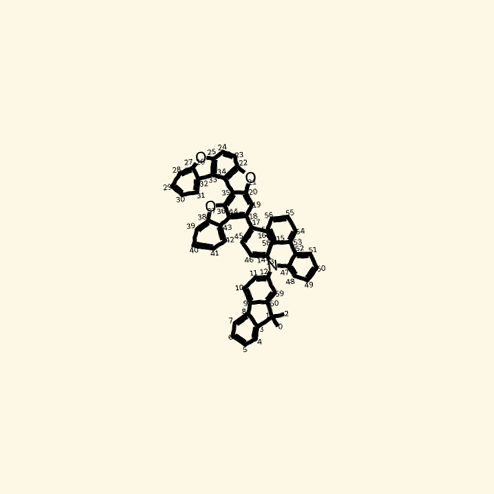 CC1(C)c2ccccc2-c2ccc(N(c3ccc(-c4cc5oc6ccc7oc8ccccc8c7c6c5c5oc6ccccc6c45)cc3)c3ccccc3-c3ccccc3)cc21